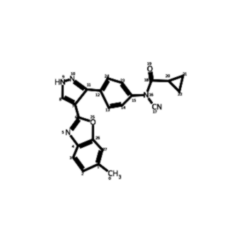 Cc1ccc2nc(-c3c[nH]nc3-c3ccc(N(C#N)C(=O)C4CC4)cc3)oc2c1